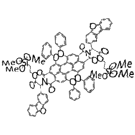 CO[Si](CCOC(=O)C(c1ccc2oc3ccccc3c2c1)N1C(=O)c2cc(Oc3ccccc3)c3c4c(Oc5ccccc5)cc5c6c(cc(Oc7ccccc7)c(c7c(Oc8ccccc8)cc(c2c37)C1=O)c64)C(=O)N(C(C(=O)OCC[Si](OC)(OC)OC)c1ccc2oc3ccccc3c2c1)C5=O)(OC)OC